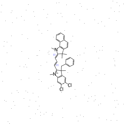 CN1/C(=C/C=C/C2=[N+](C)c3cc(Cl)c(Cl)cc3C2(C)Cc2ccccc2)C(C)(C)c2ccc3ccccc3c21